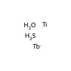 O.S.[Tb].[Ti]